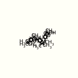 Cc1c(C)n(C(C)c2ccc(O[C@@H](C)C(=O)O)cc2)c2ccc(C(=O)N[C@@H](C)c3ccc(C(C)(C)C)cc3)cc12